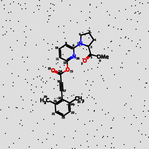 COC(=O)C1CCCN1c1cccc(OC(=O)C#Cc2c(C)cccc2C)n1